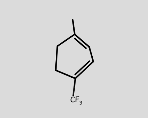 CC1=CC=C(C(F)(F)F)CC1